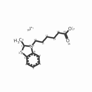 CC1Sc2ccccc2N1CCCCCC(=O)[O-].[I+]